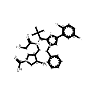 CC(C)(C)[C@H](c1nc(-c2cc(F)ccc2F)cn1Cc1ccccc1)N(CC1CN(C(=O)O)CC1N)C(=O)CO